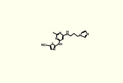 Cc1nc(NCCCn2ccnc2)cc(Nc2ncc(C#N)s2)n1